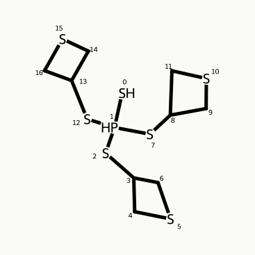 S[PH](SC1CSC1)(SC1CSC1)SC1CSC1